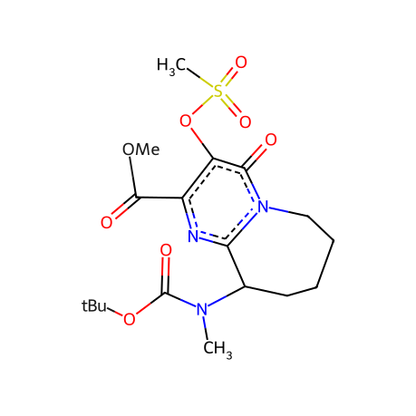 COC(=O)c1nc2n(c(=O)c1OS(C)(=O)=O)CCCCC2N(C)C(=O)OC(C)(C)C